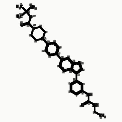 CCNC(=O)Nc1cccc(-c2cnc3cc(-c4ccc(N5CCN(C(=O)OC(C)(C)C)CC5)cc4)ccn23)c1